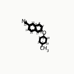 C[C@H]1CC[C@@H](Oc2ccc3cc(C#N)ccc3c2)CC1